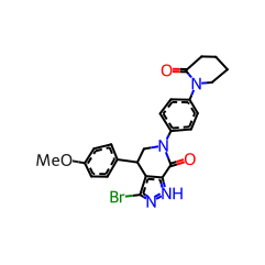 COc1ccc(C2CN(c3ccc(N4CCCCC4=O)cc3)C(=O)c3[nH]nc(Br)c32)cc1